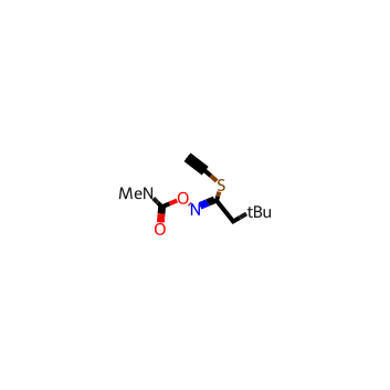 C#CSC(CC(C)(C)C)=NOC(=O)NC